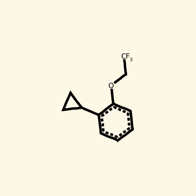 FC(F)(F)COc1cc[c]cc1C1CC1